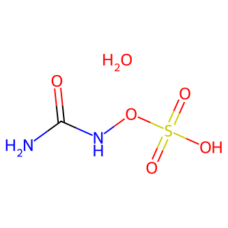 NC(=O)NOS(=O)(=O)O.O